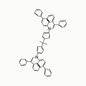 CC(C)(c1ccc(N(C=C(c2ccccc2)c2ccccc2)c2ccc(-c3ccccc3)cc2)cc1)c1ccc(N(C=C(c2ccccc2)c2ccccc2)c2ccc(-c3ccccc3)cc2)cc1